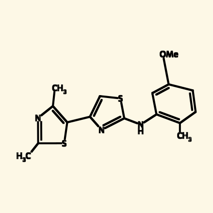 COc1ccc(C)c(Nc2nc(-c3sc(C)nc3C)cs2)c1